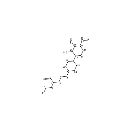 C=CC(CCC)CCCC1CCC(C2CCC(OC)C(F)C2F)CC1